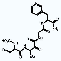 CCC(C)C(NC(=O)C(CC(C)C)NC(=O)O)C(=O)C(=O)NCC(=O)NC(Cc1cccnc1)C(N)=O